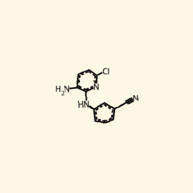 N#Cc1cccc(Nc2nc(Cl)ccc2N)c1